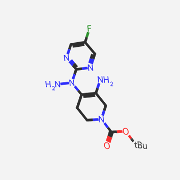 CC(C)(C)OC(=O)N1CCC(N(N)c2ncc(F)cn2)=C(N)C1